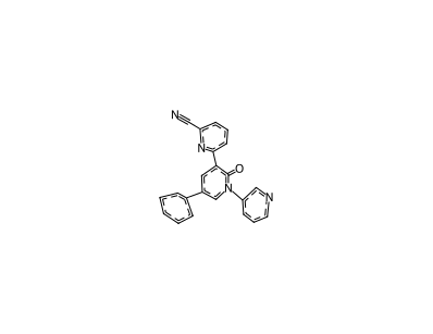 N#Cc1cccc(-c2cc(-c3ccccc3)cn(-c3cccnc3)c2=O)n1